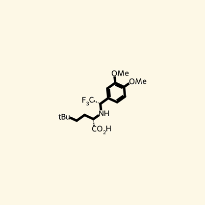 COc1ccc([C@H](N[C@@H](CCC(C)(C)C)C(=O)O)C(F)(F)F)cc1OC